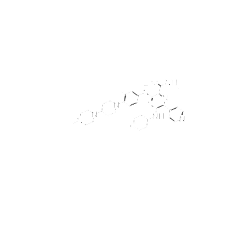 CN1CCN(C2CCN(c3ccc(Nc4nc(NC5CCOCC5)c(-c5ccncc5)nc4C(N)=O)cc3F)CC2)CC1